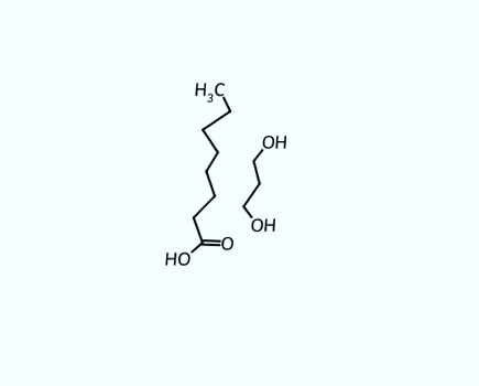 CCCCCCCC(=O)O.OCCCO